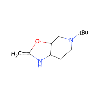 C=C1NC2CCN(C(C)(C)C)CC2O1